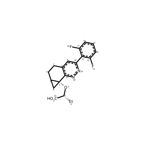 CC[C@@H](O[C@]12CC1CCc1cc(-c3c(F)cccc3F)nnc12)C(=O)O